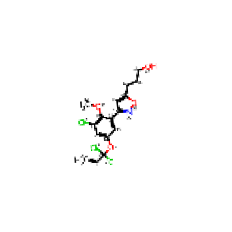 C=CC(Cl)(Cl)Oc1cc(Cl)c(OC)c(-c2cc(CCCO)on2)c1